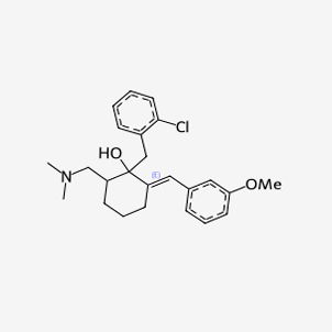 COc1cccc(/C=C2\CCCC(CN(C)C)C2(O)Cc2ccccc2Cl)c1